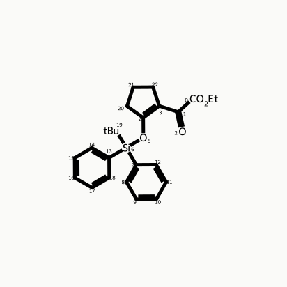 CCOC(=O)C(=O)C1=C(O[Si](c2ccccc2)(c2ccccc2)C(C)(C)C)CCC1